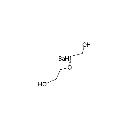 OCCOCCO.[BaH2]